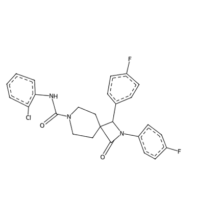 O=C(Nc1ccccc1Cl)N1CCC2(CC1)C(=O)N(c1ccc(F)cc1)C2c1ccc(F)cc1